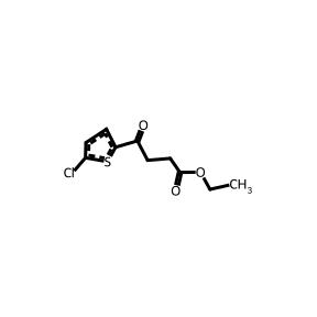 CCOC(=O)CCC(=O)c1ccc(Cl)s1